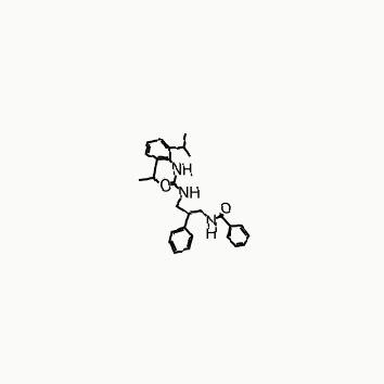 CC(C)c1cccc(C(C)C)c1NC(=O)NCC(CNC(=O)c1ccccc1)c1ccccc1